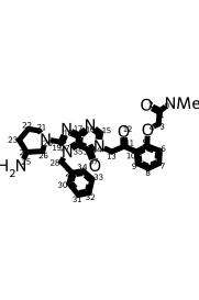 CNC(=O)COc1ccccc1C(=O)Cn1cnc2nc(N3CCCC(N)C3)n(Cc3ccccc3)c2c1=O